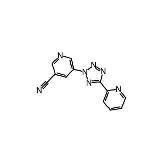 N#Cc1cncc(-n2nnc(-c3ccccn3)n2)c1